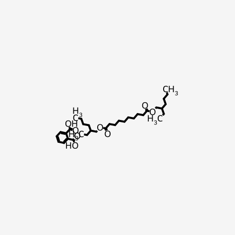 CCCCC(CC)COC(=O)CCCCCCCCC(=O)OCC(CC)CCCC.O=C(O)c1ccccc1C(=O)O